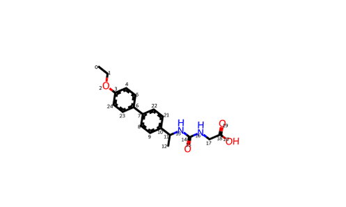 CCOc1ccc(-c2ccc(C(C)NC(=O)NCC(=O)O)cc2)cc1